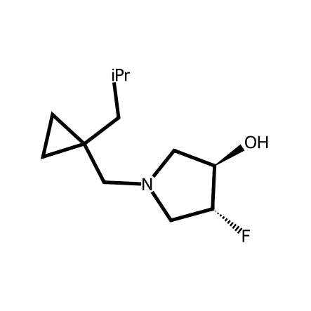 CC(C)CC1(CN2C[C@@H](O)[C@H](F)C2)CC1